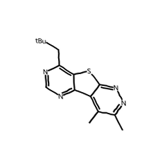 Cc1nnc2sc3c(CC(C)(C)C)ncnc3c2c1C